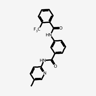 Cc1ccc(NC(=O)c2cccc(NC(=O)c3ccccc3C(F)(F)F)c2)nc1